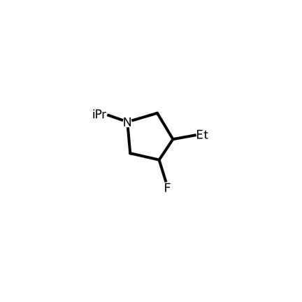 CCC1CN(C(C)C)CC1F